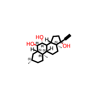 C#C[C@]1(O)CC[C@H]2C3[C@@H](O)[C@H](O)[C@H]4C[C@@H](C)CC[C@]4(C)[C@H]3CC[C@@]21C